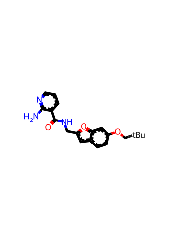 CC(C)(C)COc1ccc2cc(CNC(=O)c3cccnc3N)oc2c1